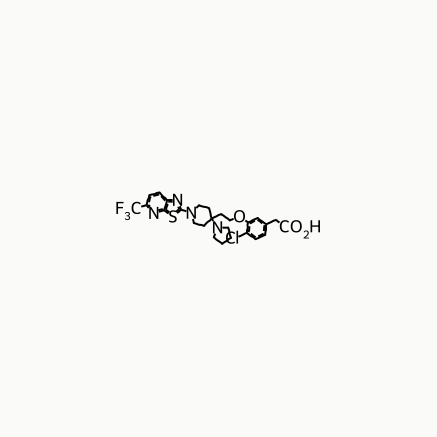 O=C(O)Cc1ccc(Cl)c(OCCC2(N3CCCC3)CCN(c3nc4ccc(C(F)(F)F)nc4s3)CC2)c1